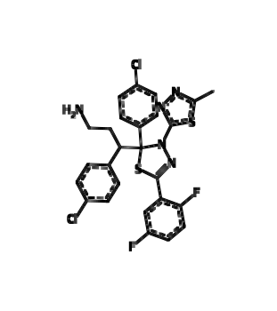 Cc1nnc(N2N=C(c3cc(F)ccc3F)SC2(c2ccc(Cl)cc2)C(CCN)c2ccc(Cl)cc2)s1